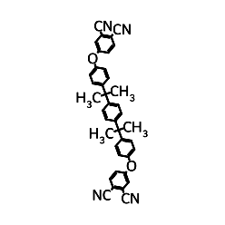 CC(C)(c1ccc(Oc2ccc(C#N)c(C#N)c2)cc1)c1ccc(C(C)(C)c2ccc(Oc3ccc(C#N)c(C#N)c3)cc2)cc1